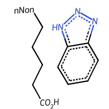 CCCCCCCCCCCCCC(=O)O.c1ccc2[nH]nnc2c1